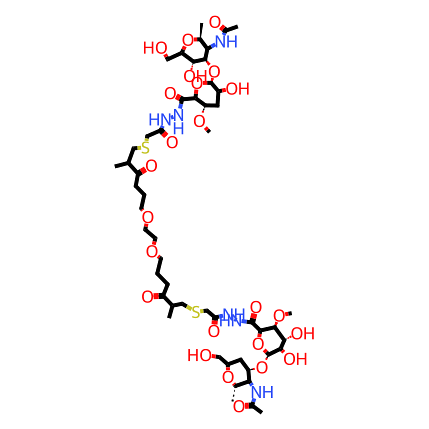 CO[C@H]1CC(O)[C@H](O[C@@H]2C(NC(C)=O)[C@H](C)OC(CO)[C@H]2O)OC1C(=O)NNC(=O)CSCC(C)C(=O)CCCOCCOCCCC(=O)C(C)CSCC(=O)NNC(=O)C1O[C@@H](O[C@H]2CC(CO)O[C@@H](C)C2NC(C)=O)C(O)[C@@H](O)[C@@H]1OC